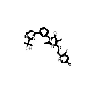 Cc1c(OCc2ncc(F)cc2F)nc(C)n(-c2cccc(-c3ccnc(C(C)(C)O)n3)c2)c1=O